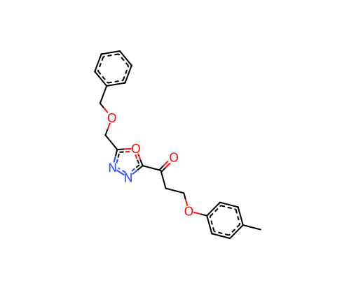 Cc1ccc(OCCC(=O)c2nnc(COCc3ccccc3)o2)cc1